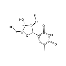 Cc1cn(C2O[C@@H](CO)[C@H](O)[C@H]2OF)c(=O)[nH]c1=O